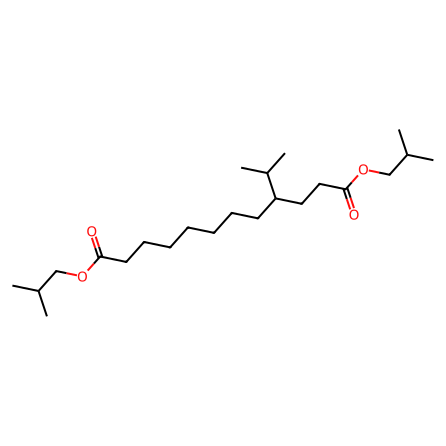 CC(C)COC(=O)CCCCCCCC(CCC(=O)OCC(C)C)C(C)C